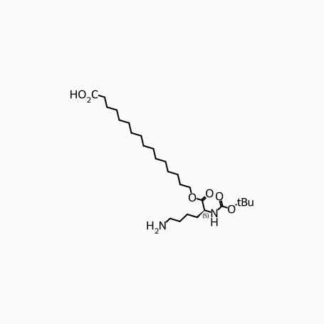 CC(C)(C)OC(=O)N[C@@H](CCCCN)C(=O)OCCCCCCCCCCCCCCCC(=O)O